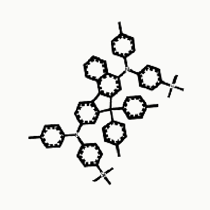 Cc1ccc(N(c2ccc([Si](C)(C)C)cc2)c2ccc3c(c2)C(c2ccc(C)cc2)(c2ccc(C)cc2)c2cc(N(c4ccc(C)cc4)c4ccc([Si](C)(C)C)cc4)c4ccccc4c2-3)cc1